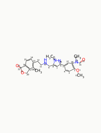 COc1ccc(-c2cc(CNCCc3ccc4c(c3C)COC4=O)n(C)n2)cc1N(C)C=O